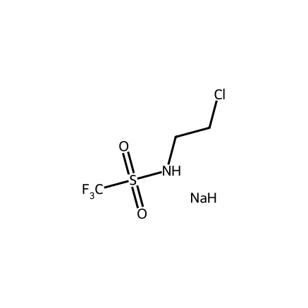 O=S(=O)(NCCCl)C(F)(F)F.[NaH]